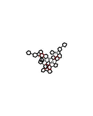 c1ccc(-c2ccc3c(c2)c2cccc(-c4ccc5c(c4)N(c4c(-c6ccccc6)cccc4-c4ccccc4)c4cc(-n6c7ccccc7c7ccccc76)cc6c4B5c4ccc(-c5cccc7c8cc(-c9ccccc9)ccc8n(-c8ccccc8)c57)cc4N6c4c(-c5ccccc5)cccc4-c4ccccc4)c2n3-c2ccccc2)cc1